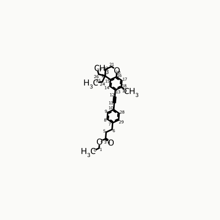 CCOC(=O)CCc1ccc(C#Cc2cc3c(cc2C)OCCC3(CC)CC)cc1